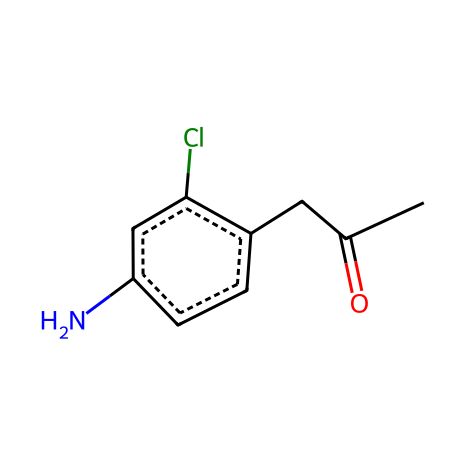 CC(=O)Cc1ccc(N)cc1Cl